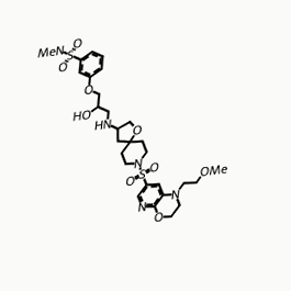 CNS(=O)(=O)c1cccc(OCC(O)CNC2COC3(CCN(S(=O)(=O)c4cnc5c(c4)N(CCOC)CCO5)CC3)C2)c1